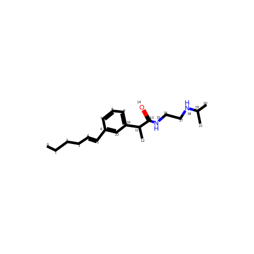 CCCCC=Cc1cccc(C(C)C(=O)NCCNC(C)C)c1